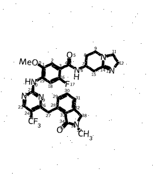 COc1cc(C(=O)NC2CCN3CCN=C3C2)c(F)cc1Nc1ncc(C(F)(F)F)c(Cc2cccc3c2C(=O)N(C)C3)n1